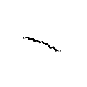 CC(=O)CC/C=C/CCCC/C=C/CCC(C)=O